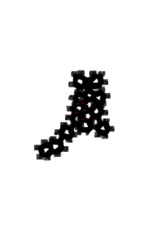 c1ccc(-c2ccccc2-c2c(-c3ccccc3)cccc2N(c2ccc(-c3ccc(-c4ccc5ccccc5c4)cc3)cc2)c2cccc3c2-c2ccccc2C3(c2ccccc2)c2ccccc2)cc1